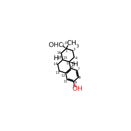 C[C@]1(C=O)CC[C@@H]2c3ccc(O)cc3CC[C@H]2C1